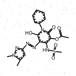 CC(=O)Oc1c(NS(C)(=O)=O)c(N=Nc2cc(C)n(C)n2)c(O)n(-c2ccccc2)c1=O